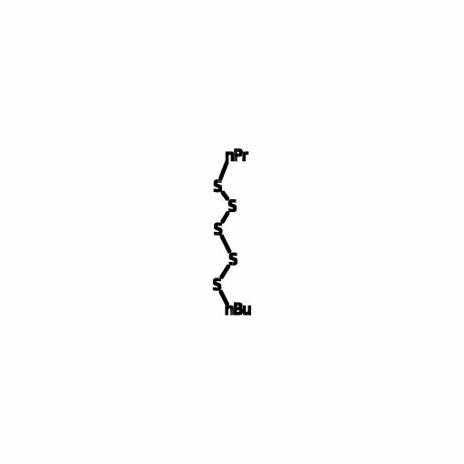 CCCCSSSSSCCC